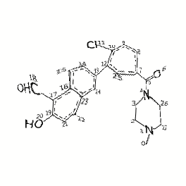 CN1CCN(C(=O)c2ccc(Cl)c(-c3ccc4c(C=O)c(O)ccc4c3)c2)CC1